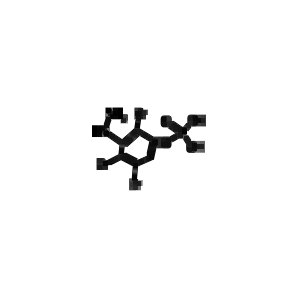 NNc1c(Br)ccc(Br)c1Br.O=P(O)(O)O